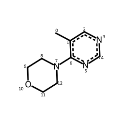 Cc1cn[c]nc1N1CCOCC1